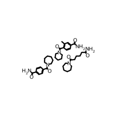 Cc1cc(C(N)=O)ccc1C(=O)N1CCCCC1.NC(=O)CCCCC(=O)N1CCCCCC1.NC(=O)c1ccc(C(=O)N2CCCCCC2)cc1